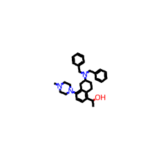 CC(O)c1ccc(N2CCN(C)CC2)c2c1CCC(N(Cc1ccccc1)Cc1ccccc1)C2